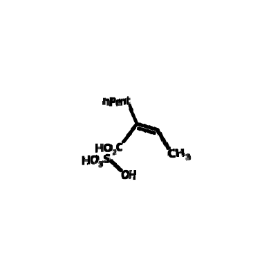 CC=C(CCCCC)C(=O)O.O=S(=O)(O)O